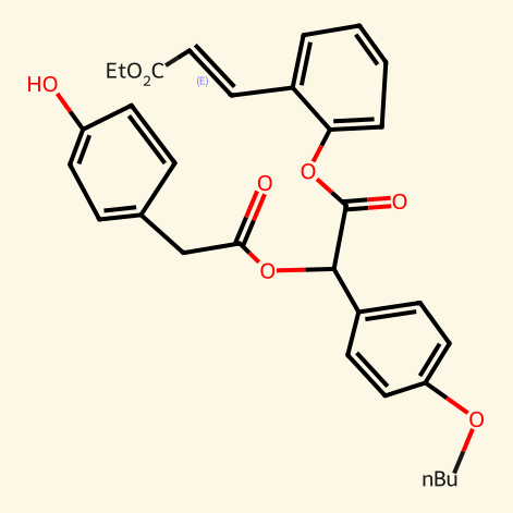 CCCCOc1ccc(C(OC(=O)Cc2ccc(O)cc2)C(=O)Oc2ccccc2/C=C/C(=O)OCC)cc1